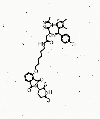 Cc1sc2c(c1C)C(c1ccc(Cl)cc1)=N[C@@H](CC(=O)NCCCCCCOc1cccc3c1C(=O)N(C1CCC(=O)NC1=O)C3=O)c1nnc(C)n1-2